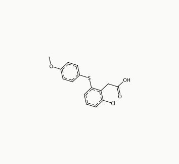 COc1ccc(Sc2cccc(Cl)c2CC(=O)O)cc1